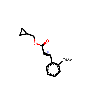 COc1ccccc1/C=C/C(=O)OCC1CC1